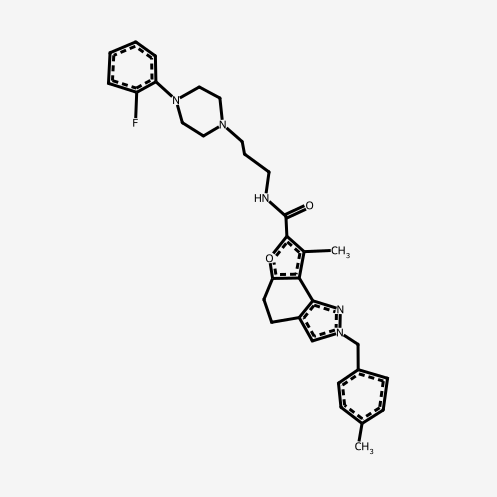 Cc1ccc(Cn2cc3c(n2)-c2c(oc(C(=O)NCCCN4CCN(c5ccccc5F)CC4)c2C)CC3)cc1